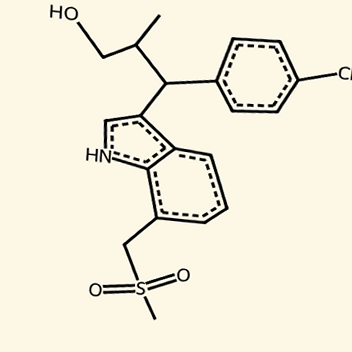 CC(CO)C(c1ccc(Cl)cc1)c1c[nH]c2c(CS(C)(=O)=O)cccc12